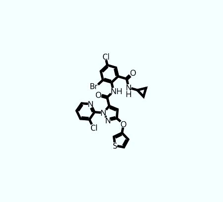 O=C(NC1CC1)c1cc(Cl)cc(Br)c1NC(=O)c1cc(Oc2ccsc2)nn1-c1ncccc1Cl